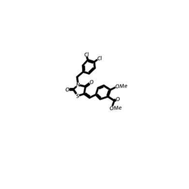 COC(=O)c1cc(C=C2SC(=O)N(Cc3ccc(Cl)c(Cl)c3)C2=O)ccc1OC